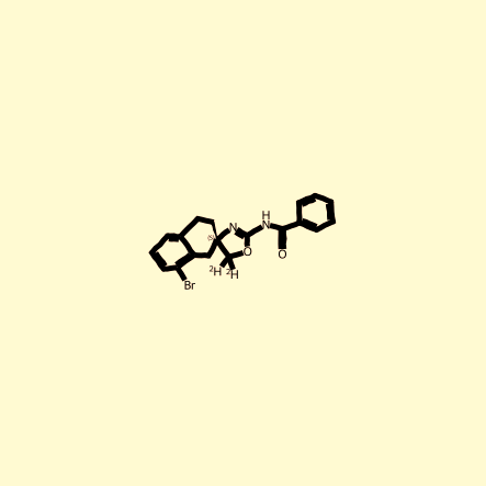 [2H]C1([2H])OC(NC(=O)c2ccccc2)=N[C@]12CCc1cccc(Br)c1C2